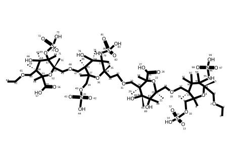 CCOC[C@]1(C)OC(C)(COS(=O)(=O)O)[C@@](C)(COC[C@]2(C)OC(C)(C(=O)O)[C@](C)(COCC[C@]3(C)OC(C)(COS(=O)(=O)O)[C@@](C)(COC[C@]4(C)OC(C)(C(=O)O)[C@@](C)(COCC)[C@@](C)(O)C4(C)OS(=O)(=O)O)[C@@](C)(O)C3(C)NS(=O)(=O)O)[C@@](C)(O)C2(C)O)C(C)(C)C1(C)NS(=O)(=O)O